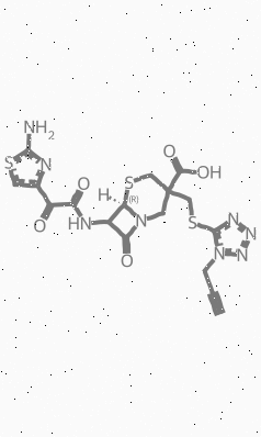 C#CCn1nnnc1SCC1(C(=O)O)CS[C@@H]2C(NC(=O)C(=O)c3csc(N)n3)C(=O)N2C1